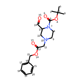 CC(C)(C)OC(=O)N1CCN(CC(=O)OCc2ccccc2)CC1C=O